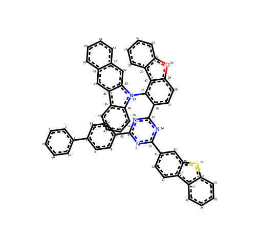 c1ccc(-c2ccc(-c3nc(-c4ccc5c(c4)sc4ccccc45)nc(-c4ccc5oc6ccccc6c5c4-n4c5ccccc5c5cc6ccccc6cc54)n3)cc2)cc1